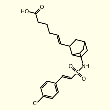 O=C(O)CCCC=CC1CC2CCC1C(NS(=O)(=O)C=Cc1ccc(Cl)cc1)C2